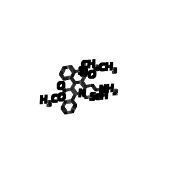 CCOC(=O)C1=C(CCN)N(C[SeH])C(c2ccccc2)=C(C(=O)OC)C1c1ccccc1SC